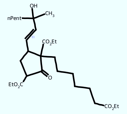 CCCCCC(C)(O)/C=C/C1CC(C(=O)OCC)C(=O)C1(CCCCCCC(=O)OCC)C(=O)OCC